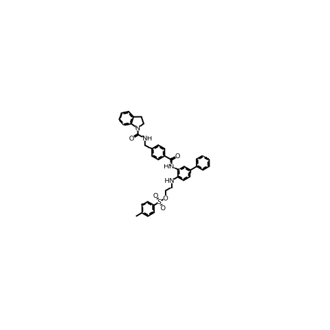 Cc1ccc(S(=O)(=O)OCCNc2ccc(-c3ccccc3)cc2NC(=O)c2ccc(CNC(=O)N3CCc4ccccc43)cc2)cc1